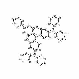 C1=CC(N(c2ccccc2)c2ccc3c(c2)Oc2cc(-c4ccccc4)cc4c2B3c2ccc(N(c3ccccc3)c3ccccc3)cc2C4)=CCC1